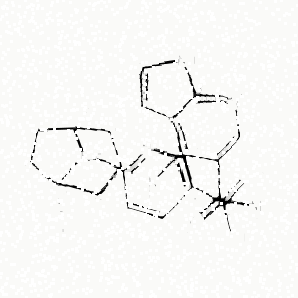 NC(=O)c1cnc2[nH]ccc2c1N[C@@H]1C[C@H]2CC[C@@H](C1)N2c1ccc(C(=O)O)cn1